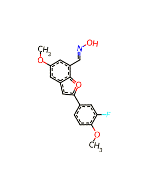 COc1cc(/C=N/O)c2oc(-c3ccc(OC)c(F)c3)cc2c1